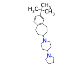 CC(C)(C)c1ccc2c(c1)CCC(N1CCC(N3CCCC3)CC1)CC2